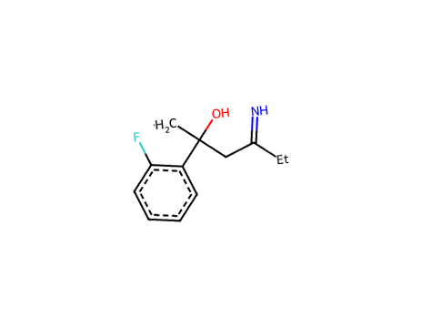 [CH2]C(O)(CC(=N)CC)c1ccccc1F